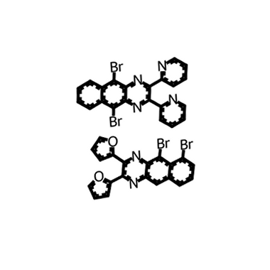 Brc1c2ccccc2c(Br)c2nc(-c3ccccn3)c(-c3ccccn3)nc12.Brc1cccc2cc3nc(-c4ccco4)c(-c4ccco4)nc3c(Br)c12